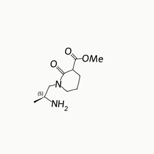 COC(=O)C1CCCN(C[C@H](C)N)C1=O